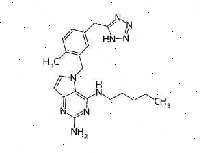 CCCCCNc1nc(N)nc2ccn(Cc3cc(Cc4nnn[nH]4)ccc3C)c12